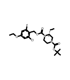 CCOc1cc(F)c(COC(=O)N2CCN(C(=O)OC(C)(C)C)C[C@H]2CC)c(Cl)c1